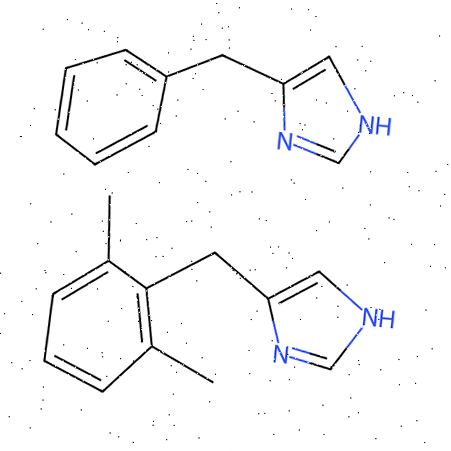 Cc1cccc(C)c1Cc1c[nH]cn1.c1ccc(Cc2c[nH]cn2)cc1